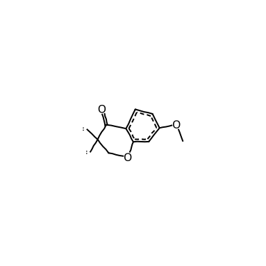 [CH]C1([CH])COc2cc(OC)ccc2C1=O